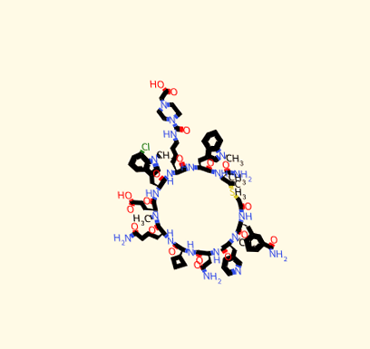 CN1C(=O)[C@H](CCCC(N)=O)NC(=O)[C@H](C2CCC2)NC(=O)[C@H](CC(N)=O)NC(=O)[C@H](Cc2cccnc2)N(C)C(=O)[C@@H](Cc2cccc(C(N)=O)c2)NC(=O)CSC(C)(C)[C@@H](C(N)=O)NC(=O)[C@H](Cc2cn(C)c3ccccc23)NC(=O)[C@H](CCCCNC(=O)N2CCN(CC(=O)O)CC2)NC(=O)[C@H](Cc2cn(C)c3c(Cl)cccc23)NC(=O)[C@@H]1CCC(=O)O